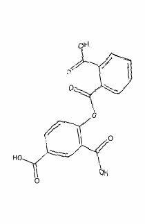 O=C(O)c1ccc(OC(=O)c2ccccc2C(=O)O)c(C(=O)O)c1